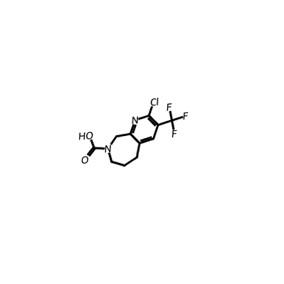 O=C(O)N1CCCc2cc(C(F)(F)F)c(Cl)nc2C1